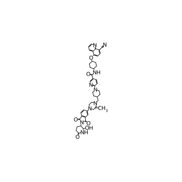 C[C@@H]1CN(c2ccc3c(c2)C(=O)N(C2CCC(=O)NC2O)C3=O)CCN1CC1CCN(c2ccc(C(=O)NC3CCC(Oc4ccc(C#N)c5ncccc45)CC3)cn2)CC1